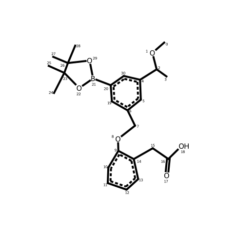 COC(C)c1cc(COc2ccccc2CC(=O)O)cc(B2OC(C)(C)C(C)(C)O2)c1